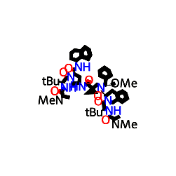 CN[C@@H](C)C(=O)N[C@H](C(=O)N1C[C@@H](NC(=O)C2(CN(C(=O)[C@@H]3Cc4ccccc4CN3C(=O)[C@@H](NC(=O)[C@H](C)NC)C(C)(C)C)[C@@H](COC)c3ccccc3)CC2)C[C@H]1C(=O)N[C@@H]1CCCc2ccccc21)C(C)(C)C